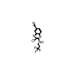 N#Cc1ccc2nc(NCCC(F)(F)F)c(Cl)nc2c1